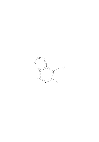 COc1c(C(=O)O)ccc2cc[nH]c12